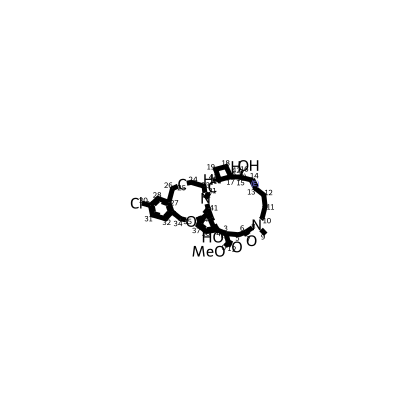 COC(=O)[C@]1(O)CC(=O)N(C)CCC/C=C/[C@H](O)[C@@H]2CC[C@H]2CN2CCCCc3cc(Cl)ccc3COc3ccc1cc32